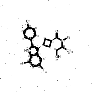 CCN(C(=O)[C@H]1C[C@H](c2c(-c3ccc(F)cc3)[nH]c3c(F)cc(F)cc32)C1)C(C)CO